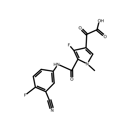 Cn1cc(C(=O)C(=O)O)c(F)c1C(=O)Nc1ccc(F)c(C#N)c1